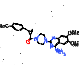 COc1ccc(C2CC2C(=O)N2CCN(c3nc(N)c4cc(OC)c(OC)cc4n3)CC2)cc1